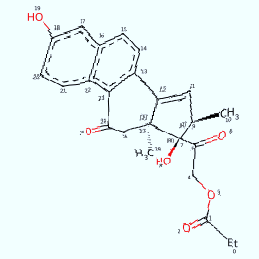 CCC(=O)OCC(=O)[C@@]1(O)[C@H](C)C=C2c3ccc4cc(O)ccc4c3C(=O)C[C@@]21C